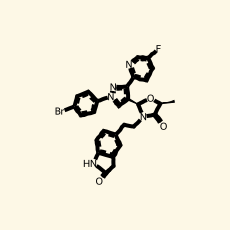 C[C@@H]1O[C@H](c2cn(-c3ccc(Br)cc3)nc2-c2ccc(F)cn2)N(CCc2ccc3c(c2)CC(=O)N3)C1=O